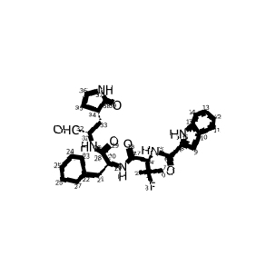 CC(C)(F)[C@H](NC(=O)c1cc2ccccc2[nH]1)C(=O)N[C@@H](CC1CCCCC1)C(=O)N[C@H](C=O)C[C@@H]1CCNC1=O